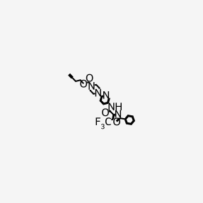 C#CCCOC(=O)N1CCN(c2ccc(NC(=O)c3nc(-c4ccccc4)oc3C(F)(F)F)cn2)CC1